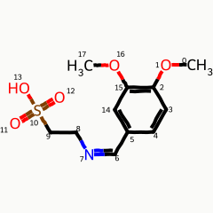 COc1ccc(/C=N\CCS(=O)(=O)O)cc1OC